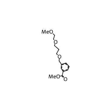 COCCOCCCOCc1cccc(C(=O)OC)c1